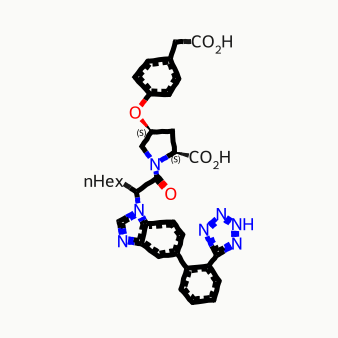 CCCCCCC(C(=O)N1C[C@@H](Oc2ccc(CC(=O)O)cc2)C[C@H]1C(=O)O)n1cnc2cc(-c3ccccc3-c3nn[nH]n3)ccc21